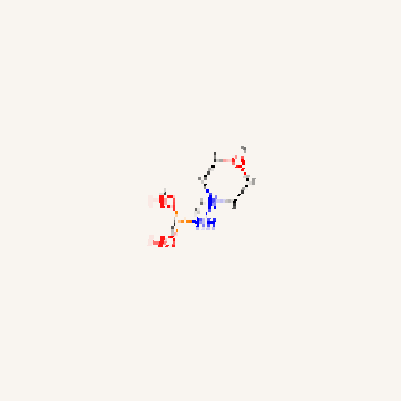 OP(O)NN1CCOCC1